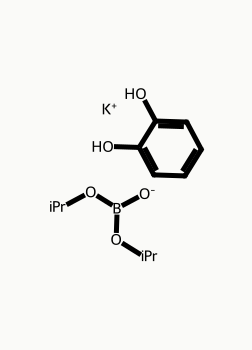 CC(C)OB([O-])OC(C)C.Oc1ccccc1O.[K+]